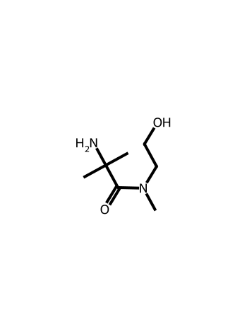 CN(CCO)C(=O)C(C)(C)N